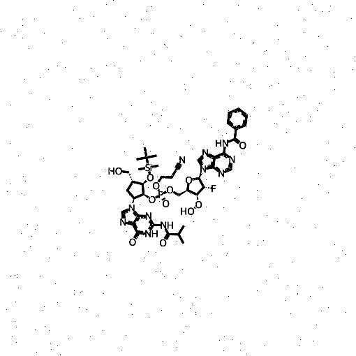 CC(C)C(=O)Nc1nc2c(ncn2[C@@H]2C[C@H](CO)[C@@H](O[Si](C)(C)C(C)(C)C)[C@H]2OP(=O)(OCCC#N)OC[C@H]2O[C@@H](n3cnc4c(NC(=O)c5ccccc5)ncnc43)[C@H](F)[C@@H]2OO)c(=O)[nH]1